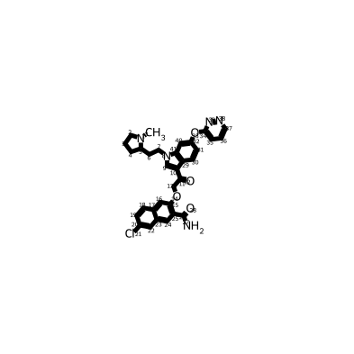 CN1CCCC1CCn1cc(C(=O)COc2cc3ccc(Cl)cc3cc2C(N)=O)c2ccc(Oc3cccnn3)cc21